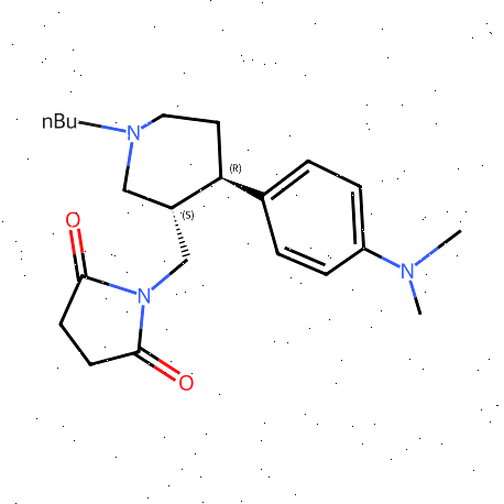 CCCCN1CC[C@@H](c2ccc(N(C)C)cc2)[C@H](CN2C(=O)CCC2=O)C1